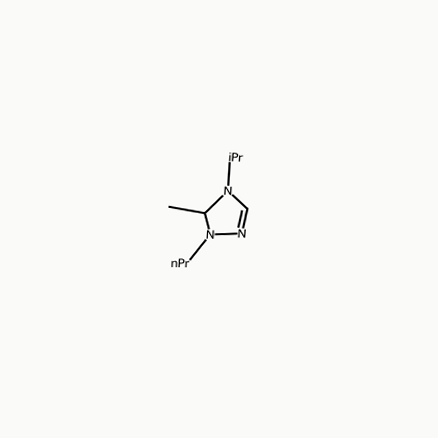 CCCN1N=CN(C(C)C)C1C